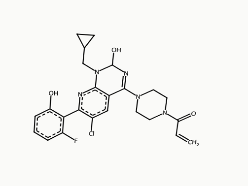 C=CC(=O)N1CCN(C2=NC(O)N(CC3CC3)c3nc(-c4c(O)cccc4F)c(Cl)cc32)CC1